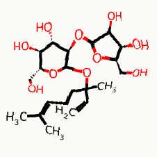 C=CC(C)(CCC=C(C)C)OC1O[C@H](CO)[C@@H](O)[C@H](O)[C@H]1OC1O[C@H](CO)[C@H](O)C1O